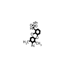 CCCS(=O)(=O)Nc1cccc(Oc2ccc(C)c(C(C)=O)c2C)c1Cl